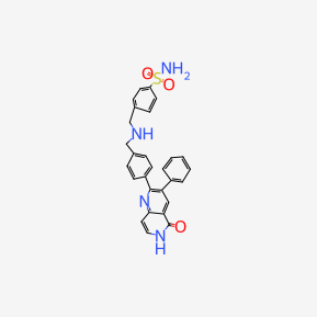 NS(=O)(=O)c1ccc(CNCc2ccc(-c3nc4cc[nH]c(=O)c4cc3-c3ccccc3)cc2)cc1